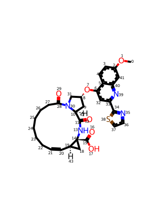 COc1ccc2c(O[C@@H]3C[C@H]4C(=O)N[C@]5(C(=O)O)C[C@H]5/C=C\CCCCCCC(=O)N4C3)cc(-c3nccs3)nc2c1